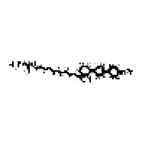 C=CC(=O)OCCCCCCCCCCCC1(C#N)CCCC(c2ccc(-c3ccc(CCC)cc3)cc2)C1